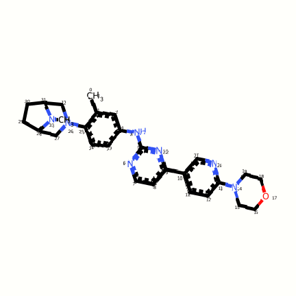 Cc1cc(Nc2nccc(-c3ccc(N4CCOCC4)nc3)n2)ccc1N1CC2CCC(C1)N2C